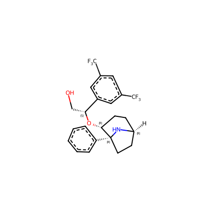 OC[C@@H](O[C@@H]1CC[C@H]2CC[C@]1(c1ccccc1)N2)c1cc(C(F)(F)F)cc(C(F)(F)F)c1